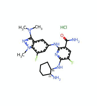 CN(C)c1nn(C)c2c(F)cc(Nc3nc(N[C@@H]4CCCC[C@@H]4N)c(F)cc3C(N)=O)cc12.Cl